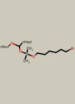 CCCCCCCCCOC(CCCCCCC)O[Si](C)(C)OCCCCCCBr